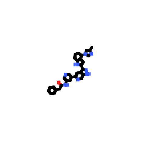 Cc1cn(-c2cccc3[nH]c(-c4n[nH]c5cnc(-c6cncc(NC(=O)Cc7ccccc7)c6)cc45)cc23)cn1